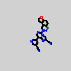 N#Cc1cncc(-c2cnc(NCc3c(F)ccc4c3CCO4)n3cc(C#N)nc23)c1